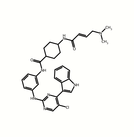 CN(C)CC=CC(=O)NC1CCC(C(=O)Nc2cccc(Nc3ncc(Cl)c(-c4c[nH]c5ccccc45)n3)c2)CC1